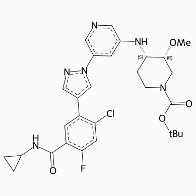 CO[C@@H]1CN(C(=O)OC(C)(C)C)CC[C@@H]1Nc1cncc(-n2cc(-c3cc(C(=O)NC4CC4)c(F)cc3Cl)cn2)c1